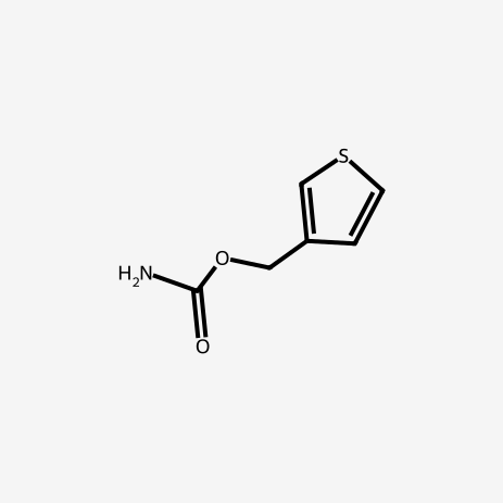 NC(=O)OCc1ccsc1